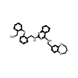 OCc1ccccc1Sc1ccccc1CNc1nc(NCc2ccc3c(c2)OCCCO3)c2ccccc2n1